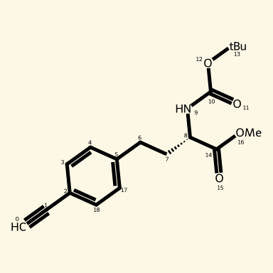 C#Cc1ccc(CC[C@H](NC(=O)OC(C)(C)C)C(=O)OC)cc1